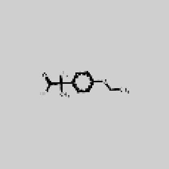 CCOc1ccc(C(C)(C)C(=O)O)cc1